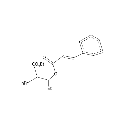 CCCC(C(=O)OCC)C(CC)OC(=O)C=Cc1ccccc1